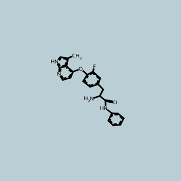 Cc1c[nH]c2nccc(Oc3ccc(CC(N)C(=O)Nc4ccccc4)cc3F)c12